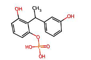 CC(c1cccc(O)c1)c1c(O)cccc1OP(=O)(O)O